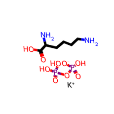 NCCCCC(N)C(=O)O.O=P([O-])(O)OP(=O)(O)O.[K+]